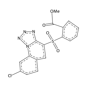 COC(=O)c1ccccc1S(=O)(=O)c1cc2ccc(Cl)cc2n2nnnc12